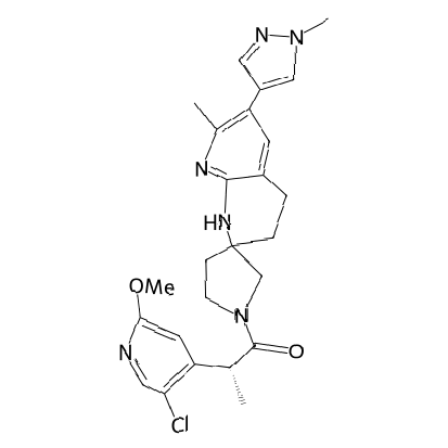 COc1cc([C@@H](C)C(=O)N2CCC3(CCc4cc(-c5cnn(C)c5)c(C)nc4N3)C2)c(Cl)cn1